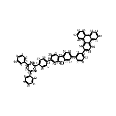 c1ccc(-c2nc(-c3ccccc3)nc(-c3ccc(-c4ccc5c(c4)oc4cc(-c6cccc(-c7ccc8c9ccccc9c9ccccc9c8c7)c6)ccc45)cc3)n2)cc1